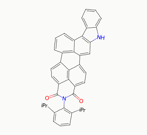 CC(C)c1cccc(C(C)C)c1N1C(=O)c2ccc3c4cccc5c6c(cc(c7ccc(c2c37)C1=O)c45)[nH]c1ccccc16